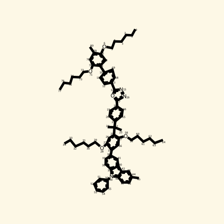 CCCCCCOc1cc(-c2ccc(-c3nnc(-c4ccc(C(C)(C)c5cc(OCCCCCC)c(-c6ccc7c(c6)c6cc(C)ccc6n7-c6ccccc6)cc5OCCCCCC)cc4)o3)cc2)c(OCCCCCC)cc1C